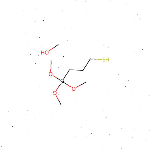 CO.CO[Si](CCCS)(OC)OC